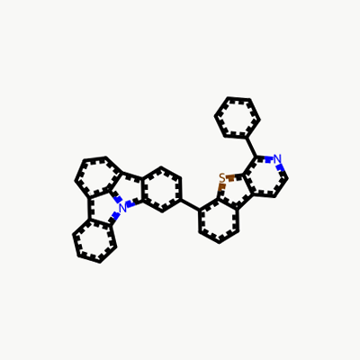 c1ccc(-c2nccc3c2sc2c(-c4ccc5c6cccc7c8ccccc8n(c5c4)c76)cccc23)cc1